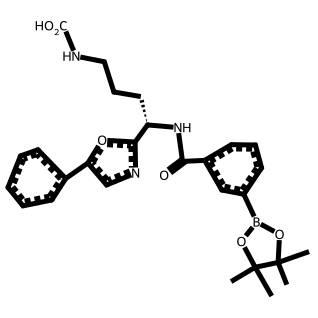 CC1(C)OB(c2cccc(C(=O)N[C@@H](CCCNC(=O)O)c3ncc(-c4ccccc4)o3)c2)OC1(C)C